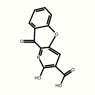 O=C(O)c1cc2oc3ccccc3c(=O)c2nc1O